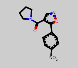 O=C(c1cnoc1-c1ccc([N+](=O)[O-])cc1)N1CCCC1